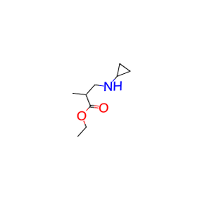 CCOC(=O)C(C)CNC1CC1